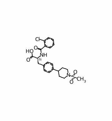 CS(=O)(=O)N1CCC(c2ccc(C[C@H](NC(=O)c3ccccc3Cl)C(=O)O)cc2)CC1